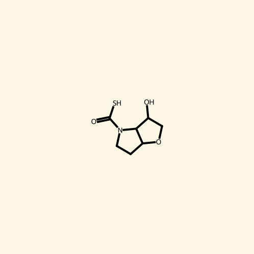 O=C(S)N1CCC2OCC(O)C21